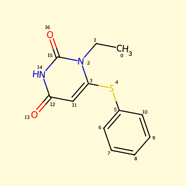 CCn1c(Sc2ccccc2)cc(=O)[nH]c1=O